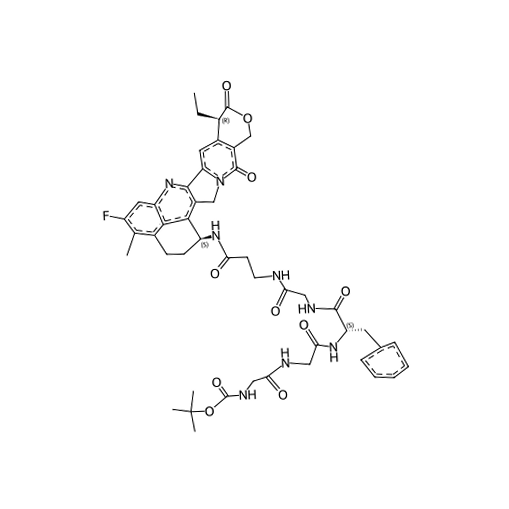 CC[C@H]1C(=O)OCc2c1cc1n(c2=O)Cc2c-1nc1cc(F)c(C)c3c1c2[C@@H](NC(=O)CCNC(=O)CNC(=O)[C@H](Cc1ccccc1)NC(=O)CNC(=O)CNC(=O)OC(C)(C)C)CC3